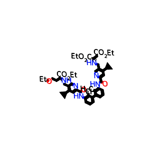 CCOCC[C@@H](NCc1cnc(C(=O)Nc2cccc(-c3cccc(NC(=O)c4cc(C5CC5)c(CN[C@H](CC(=O)OCC)C(=O)OCC)cn4)c3C)c2C)cc1C1CC1)C(=O)OCC